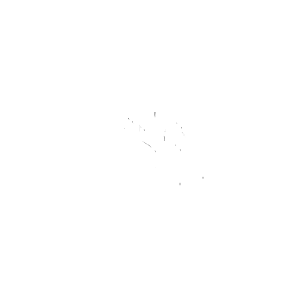 CCCCCc1nc2c(ncn2C(CO)C(O)OC)c(=O)n1N